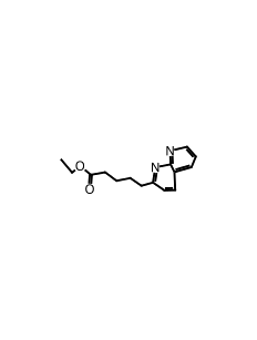 CCOC(=O)CCCCc1ccc2cccnc2n1